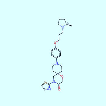 C[C@@H]1CCCN1CCCOc1ccc(N2CCC3(CC2)CN(c2nccs2)C(=O)CO3)cc1